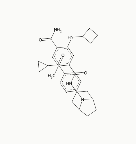 Cc1cc(C(N)=O)c(NC2CCC2)cc1C(=O)NC1CC2CCC(C1)N2c1ccc(C(=O)C2CC2)cn1